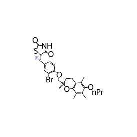 CCCOc1c(C)c(C)c2c(c1C)CC[C@@](C)(COc1ccc(/C=C3/SC(=O)NC3=O)cc1Br)O2